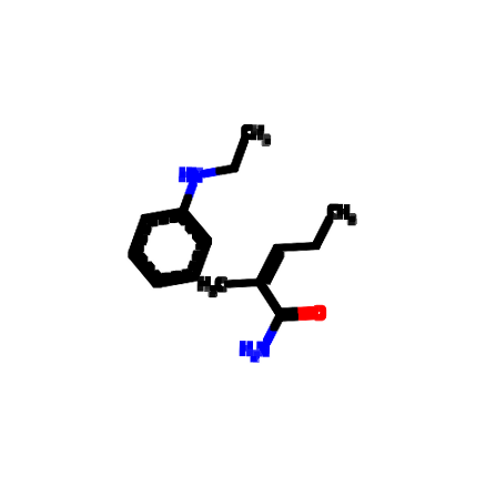 CCC=C(C)C(N)=O.CCNc1ccccc1